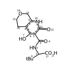 CC(C)(C)C(NC(=O)c1c(O)c2c([nH]c1=O)COCC2)C(=O)O